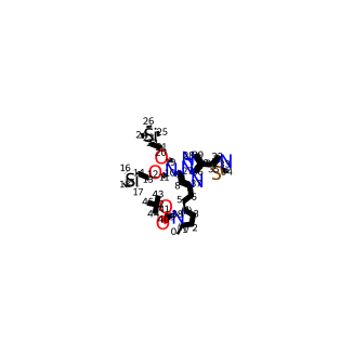 C[C@@H]1CC[C@H](CCc2cc(N(COCC[Si](C)(C)C)COCC[Si](C)(C)C)n3ncc(-c4cncs4)c3n2)N1C(=O)OC(C)(C)C